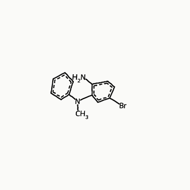 CN(c1ccccc1)c1cc(Br)ccc1N